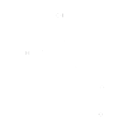 CC1C[C@H]2CC1C1C2C2CC1C1(COC(=O)C1)C2